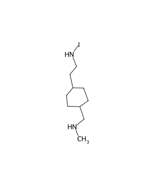 CNCC1CCC(CCNI)CC1